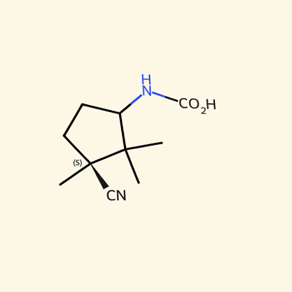 CC1(C)C(NC(=O)O)CC[C@]1(C)C#N